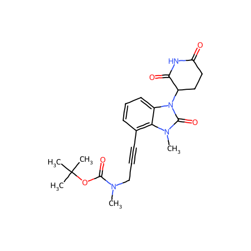 CN(CC#Cc1cccc2c1n(C)c(=O)n2C1CCC(=O)NC1=O)C(=O)OC(C)(C)C